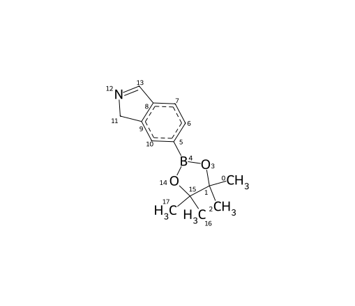 CC1(C)OB(c2ccc3c(c2)CN=C3)OC1(C)C